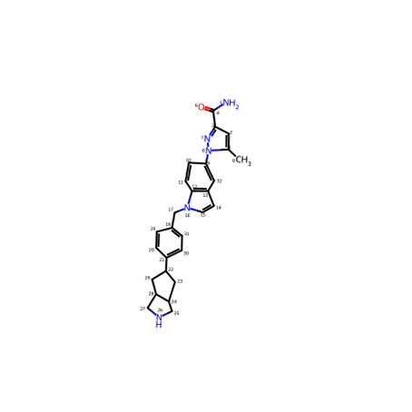 Cc1cc(C(N)=O)nn1-c1ccc2c(ccn2Cc2ccc(C3CC4CNCC4C3)cc2)c1